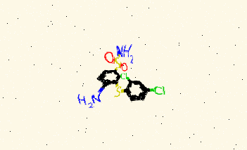 Nc1ccc(S(N)(=O)=O)cc1Sc1ccc(Cl)cc1Cl